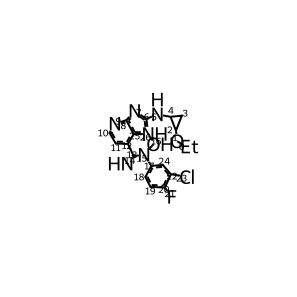 CCOC1CC1Nc1nc2nccc(C(=N)N(O)c3ccc(F)c(Cl)c3)c2[nH]1